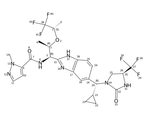 C[C@H](O[C@H](C)[C@H](NC(=O)c1ccnn1C)c1nc2cc([C@@H](C3CC3)N3C[C@@H](C(F)(F)F)NC3=O)ccc2[nH]1)C(F)(F)F